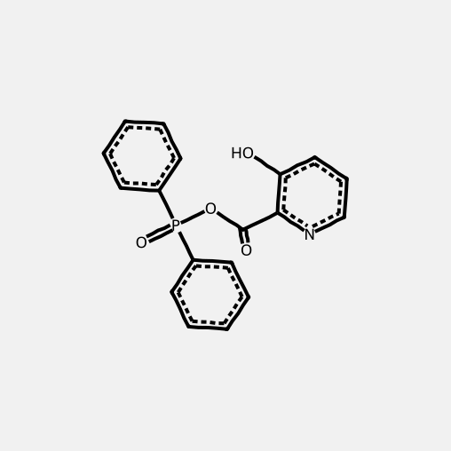 O=C(OP(=O)(c1ccccc1)c1ccccc1)c1ncccc1O